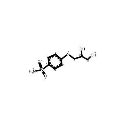 NS(=O)(=O)c1ccc(SCC(O)CO)cc1